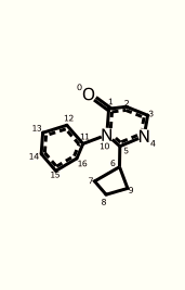 O=c1ccnc(C2CCC2)n1-c1ccccc1